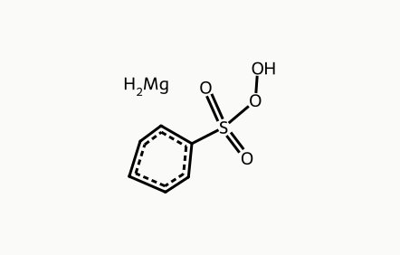 O=S(=O)(OO)c1ccccc1.[MgH2]